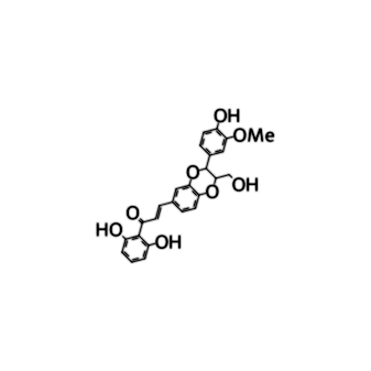 COc1cc(C2Oc3cc(/C=C/C(=O)c4c(O)cccc4O)ccc3OC2CO)ccc1O